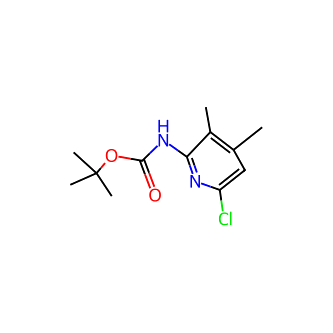 Cc1cc(Cl)nc(NC(=O)OC(C)(C)C)c1C